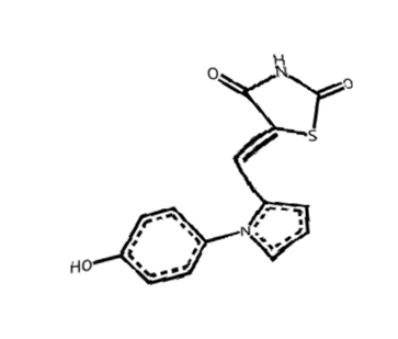 O=C1NC(=O)C(=Cc2cccn2-c2ccc(O)cc2)S1